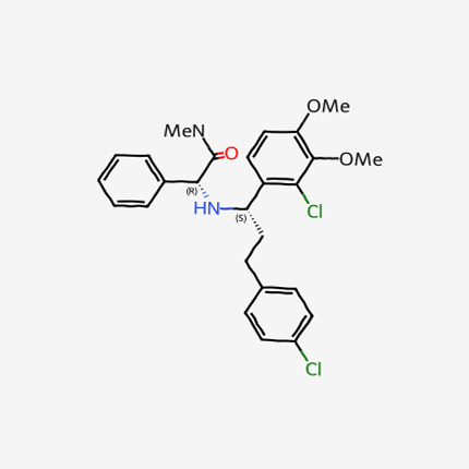 CNC(=O)[C@H](N[C@@H](CCc1ccc(Cl)cc1)c1ccc(OC)c(OC)c1Cl)c1ccccc1